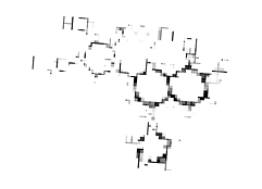 CCOC(=O)[C@@H]1[C@@H](O)[C@H](C)CN1c1cc(-n2ccnc2)c2ccc(Cl)c(Cl)c2n1